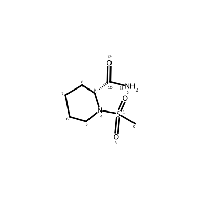 CS(=O)(=O)N1CCC[CH][C@@H]1C(N)=O